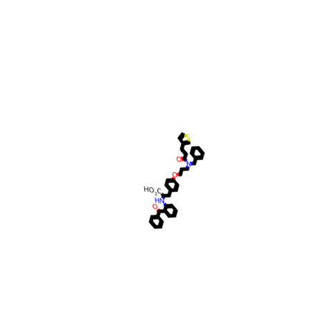 O=C(c1ccccc1)c1ccccc1NC(Cc1ccc(OCCCN(Cc2ccccc2)C(=O)C=Cc2ccsc2)cc1)C(=O)O